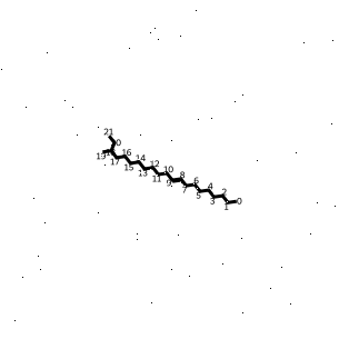 CCCCCCCCC=CCCCCCCCCC(C)CC